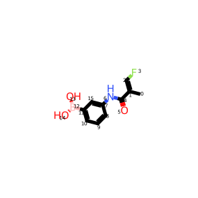 CC(=CF)C(=O)Nc1cccc(B(O)O)c1